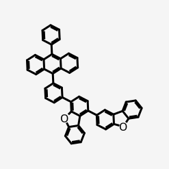 c1ccc(-c2c3ccccc3c(-c3cccc(-c4ccc(-c5ccc6oc7ccccc7c6c5)c5c4oc4ccccc45)c3)c3ccccc23)cc1